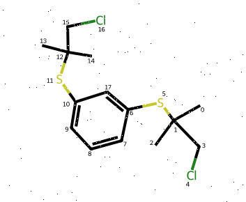 CC(C)(CCl)Sc1cccc(SC(C)(C)CCl)c1